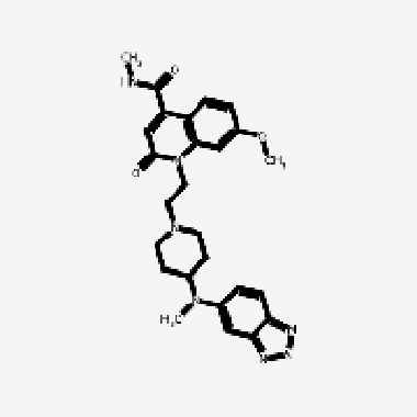 CNC(=O)c1cc(=O)n(CCN2CCC(N(C)c3ccc4nsnc4c3)CC2)c2cc(OC)ccc12